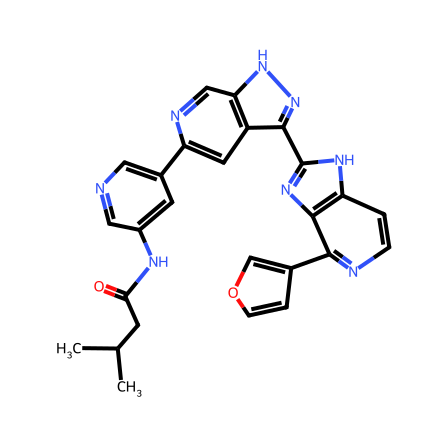 CC(C)CC(=O)Nc1cncc(-c2cc3c(-c4nc5c(-c6ccoc6)nccc5[nH]4)n[nH]c3cn2)c1